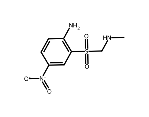 CNCS(=O)(=O)c1cc([N+](=O)[O-])ccc1N